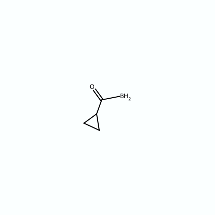 BC(=O)C1CC1